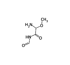 COC(N)C(=O)NC=O